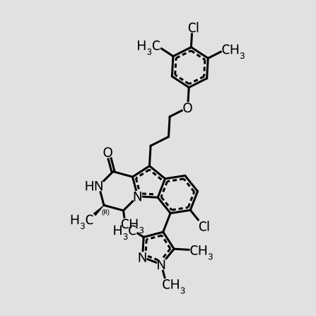 Cc1cc(OCCCc2c3n(c4c(-c5c(C)nn(C)c5C)c(Cl)ccc24)C(C)[C@@H](C)NC3=O)cc(C)c1Cl